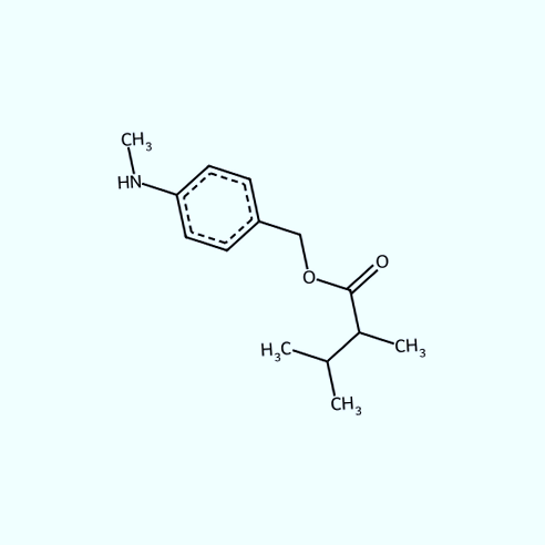 CNc1ccc(COC(=O)C(C)C(C)C)cc1